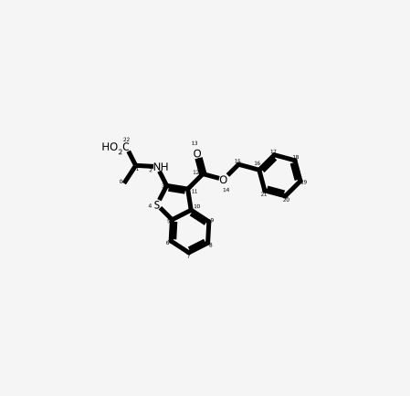 CC(Nc1sc2ccccc2c1C(=O)OCc1ccccc1)C(=O)O